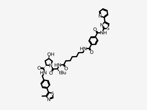 Cc1ncsc1-c1ccc(CNC(=O)[C@@H]2C[C@@H](O)CN2C(=O)[C@@H](NC(=O)CCCCCCNC(=O)c2ccc(C(=O)Nc3nc(-c4ccccn4)cs3)cc2)C(C)(C)C)cc1